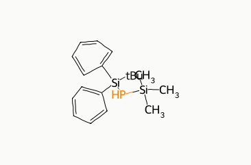 CC(C)(C)[Si](P[Si](C)(C)C)(c1ccccc1)c1ccccc1